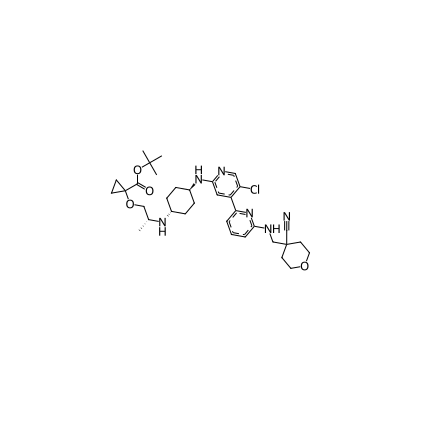 C[C@H](COC1(C(=O)OC(C)(C)C)CC1)N[C@H]1CC[C@H](Nc2cc(-c3cccc(NCC4(C#N)CCOCC4)n3)c(Cl)cn2)CC1